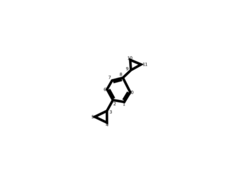 [c]1cc(C2CC2)ccc1C1CC1